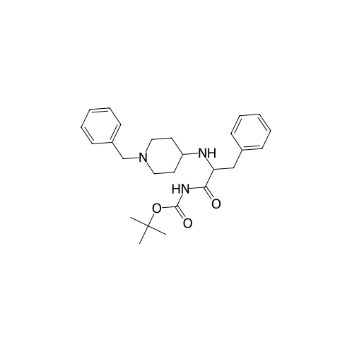 CC(C)(C)OC(=O)NC(=O)C(Cc1ccccc1)NC1CCN(Cc2ccccc2)CC1